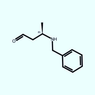 C[C@H](CC=O)NCc1ccccc1